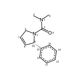 CN(C)C(=O)N1CC=C[C@H]1c1ccccc1